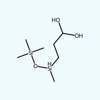 C[SiH](CCC(O)O)O[Si](C)(C)C